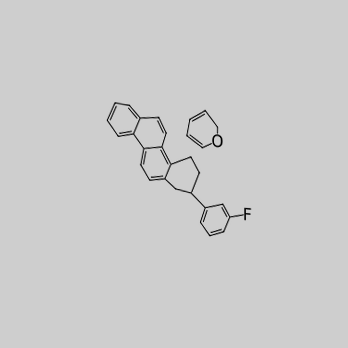 C1=CCOC=C1.Fc1cccc(C2CCc3c(ccc4c3ccc3ccccc34)C2)c1